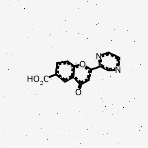 O=C(O)c1ccc2oc(-c3cnccn3)cc(=O)c2c1